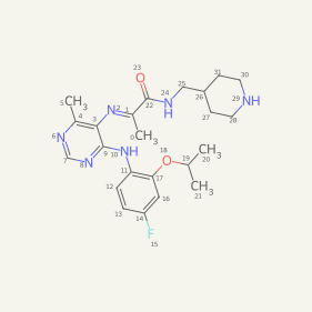 C/C(=N\c1c(C)ncnc1Nc1ccc(F)cc1OC(C)C)C(=O)NCC1CCNCC1